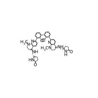 CN1CC[C@@H](NC[C@@H]2CCC(=O)N2)c2ccc(-c3cccc(-c4cccc(-c5ccc6c(n5)N(C)CC[C@H]6NC[C@@H]5CCC(=O)N5)c4Cl)c3Cl)nc21